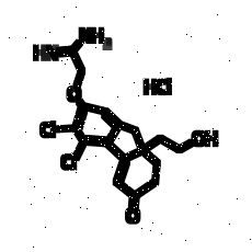 Cl.N=C(N)COc1cc2c(c(Cl)c1Cl)C1=CC(=O)CCC1(CCO)C2